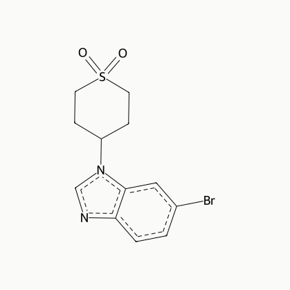 O=S1(=O)CCC(n2cnc3ccc(Br)cc32)CC1